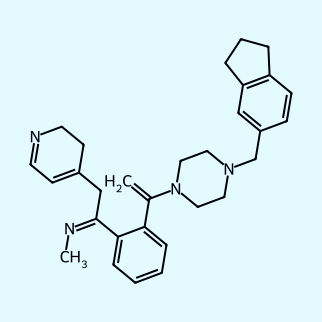 C=C(c1ccccc1/C(CC1=CC=NCC1)=N\C)N1CCN(Cc2ccc3c(c2)CCC3)CC1